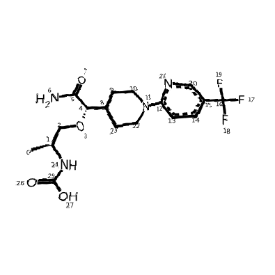 C[C@@H](CO[C@H](C(N)=O)C1CCN(c2ccc(C(F)(F)F)cn2)CC1)NC(=O)O